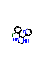 Fc1ccccc1C1NCCNC1c1ccccn1